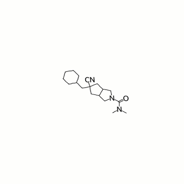 CN(C)C(=O)N1CC2CC(C#N)(CC3CCCCC3)CC2C1